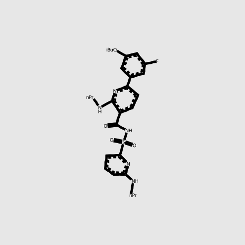 CCCNc1cccc(S(=O)(=O)NC(=O)c2ccc(-c3cc(F)cc(OCC(C)C)c3)nc2NCCC)n1